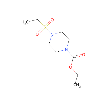 [CH2]CS(=O)(=O)N1CCN(C(=O)OCC)CC1